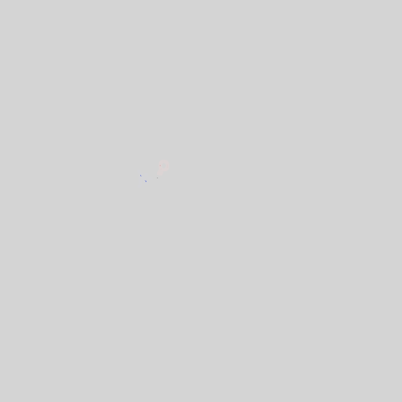 CCCCCCCCCCCCC(=O)N(CCC)CCC